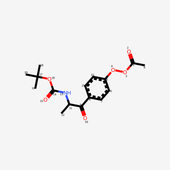 CC(=O)OOc1ccc(C(=O)C(C)NC(=O)OC(C)(C)C)cc1